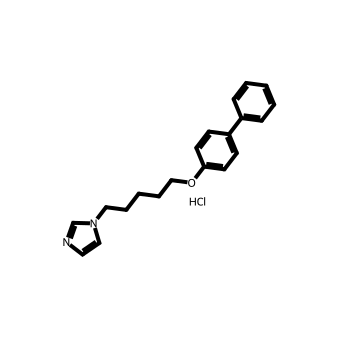 Cl.c1ccc(-c2ccc(OCCCCCn3ccnc3)cc2)cc1